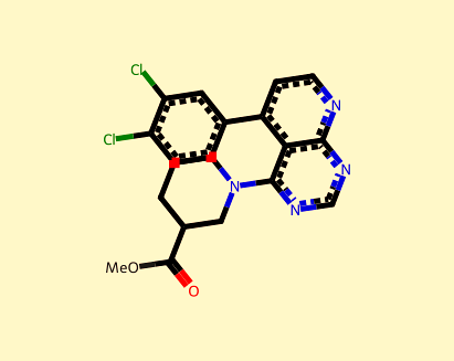 COC(=O)C1CCCN(c2ncnc3nccc(-c4ccc(Cl)c(Cl)c4)c23)C1